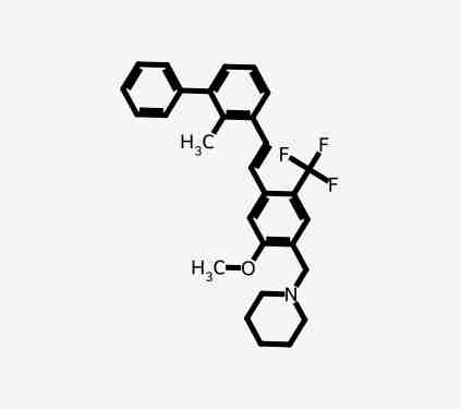 COc1cc(/C=C/c2cccc(-c3ccccc3)c2C)c(C(F)(F)F)cc1CN1CCCCC1